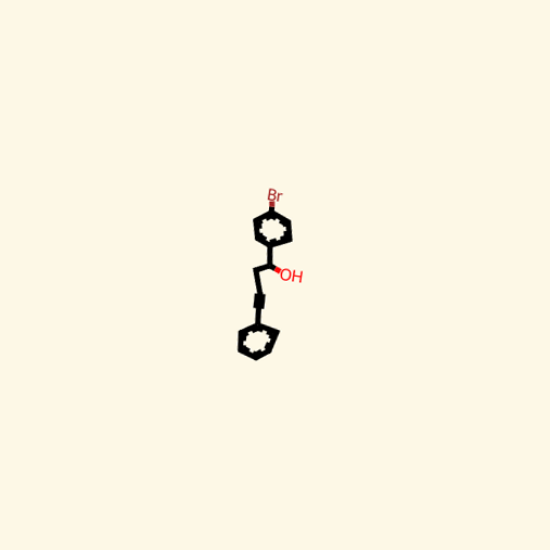 OC(CC#Cc1ccccc1)c1ccc(Br)cc1